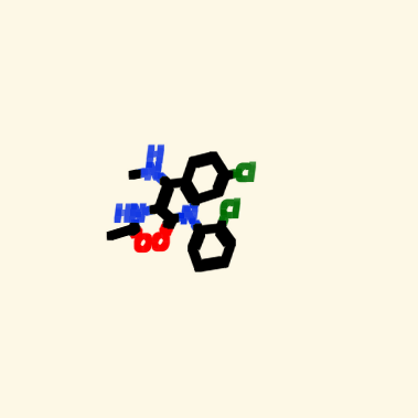 CNc1c(NC(C)=O)c(=O)n(-c2ccccc2Cl)c2cc(Cl)ccc12